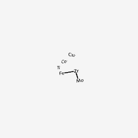 [Co].[Cu].[Fe][Zr][Mo].[Ti]